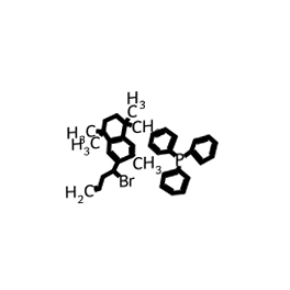 C=CCC(Br)c1cc2c(cc1C)C(C)(C)CCC2(C)C.c1ccc(P(c2ccccc2)c2ccccc2)cc1